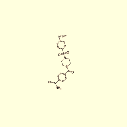 CCCCCc1ccc(S(=O)(=O)N2CCN(C(=O)c3ccc(C(=N)N)cc3)CC2)cc1